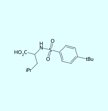 CC(C)CC(NS(=O)(=O)c1ccc(C(C)(C)C)cc1)C(=O)O